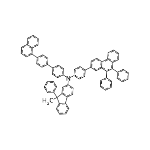 CC1(c2ccccc2)c2ccccc2-c2ccc(N(c3ccc(-c4ccc(-c5cccc6ccccc56)cc4)cc3)c3ccc(-c4ccc5c(c4)c(-c4ccccc4)c(-c4ccccc4)c4ccccc45)cc3)cc21